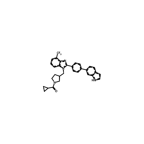 O=C(C1CC1)N1CCC(Cn2c(-c3ccc(-c4ccc5cc[nH]c5c4)cc3)nc3c(C(F)(F)F)cccc32)C1